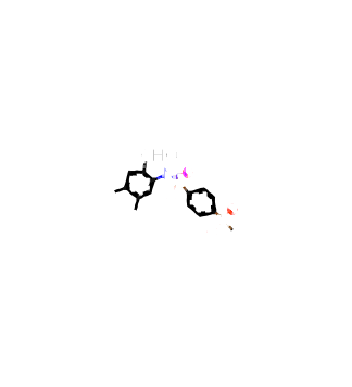 Cc1cc(C=O)c(NS(=O)(=O)c2ccc(S(C)(=O)=O)cc2)cc1C